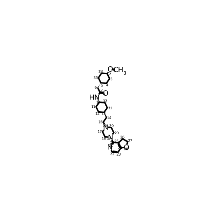 CO[C@H]1CC[C@H](CC(=O)N[C@H]2CC[C@H](CCN3CCN(c4nccc5c4CCO5)CC3)CC2)CC1